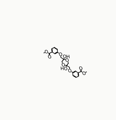 COC(=O)c1cccc(OCC2(O)COC(O)(COc3cccc(C(=O)OC)c3)CO2)c1